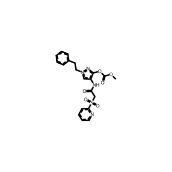 COC(=O)Oc1nn(CCc2ccccc2)cc1NC(=O)CS(=O)(=O)c1ccccn1